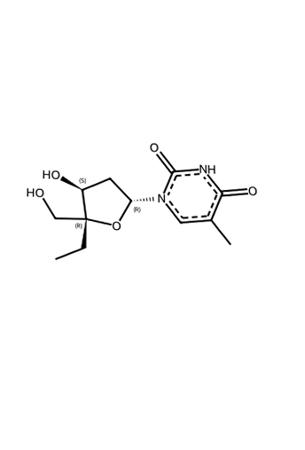 CC[C@]1(CO)O[C@@H](n2cc(C)c(=O)[nH]c2=O)C[C@@H]1O